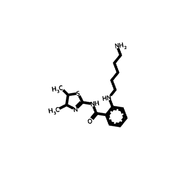 CC1N=C(NC(=O)c2ccccc2NCCCCCN)SC1C